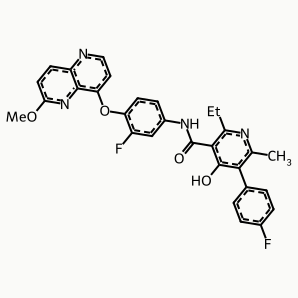 CCc1nc(C)c(-c2ccc(F)cc2)c(O)c1C(=O)Nc1ccc(Oc2ccnc3ccc(OC)nc23)c(F)c1